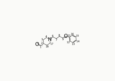 O=[C]C1CCN(CCCCOc2ccccc2)CC1